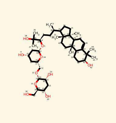 C[C@H](CC[C@@H](O[C@H]1C[C@@H](O)C[C@@H](CO[C@H]2O[C@H](CO)[C@@H](O)C[C@H]2O)O1)C(C)(C)O)C1CC[C@@]2(C)C3CC=C4C(CC[C@H](O)C4(C)C)[C@]3(C)CC[C@]12C